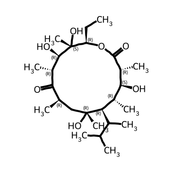 CC[C@H]1OC(=O)[C@H](C)[C@@H](O)[C@H](C)[C@@H](C(C)C(C)C)[C@](C)(O)C[C@@H](C)C(=O)[C@H](C)[C@@H](O)[C@]1(C)O